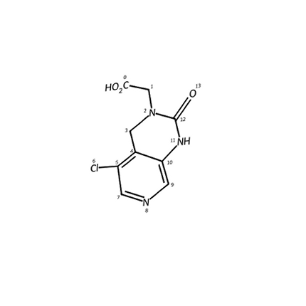 O=C(O)CN1Cc2c(Cl)cncc2NC1=O